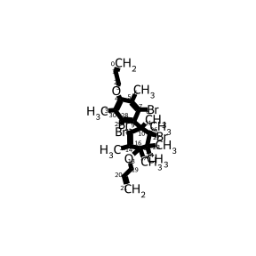 C=CCOc1c(C)c(Br)c(C2(C)C(Br)=C(C)C(C)(OCC=C)C(C)(C)C2(C)Br)c(Br)c1C